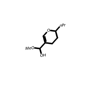 CCCC1CCC(C(O)OC)=CO1